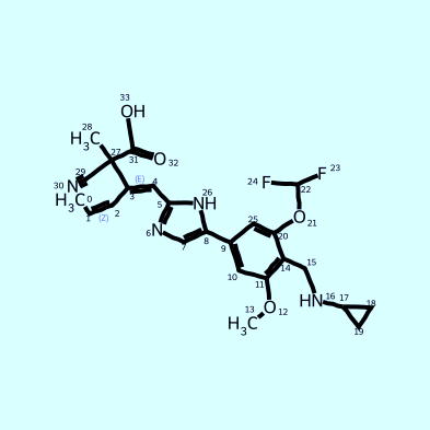 C/C=C\C(=C/c1ncc(-c2cc(OC)c(CNC3CC3)c(OC(F)F)c2)[nH]1)C(C)(C#N)C(=O)O